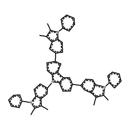 Cc1c(C)n(-c2ccccc2)c2ccc(-c3ccc4c(c3)c3cc(-c5ccc6c(c5)c(C)c(C)n6-c5ccccc5)ccc3n4-c3ccc4c(c3)c(C)c(C)n4-c3ccccc3)cc12